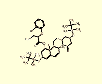 CCC(Oc1ccccc1Br)C(=O)O[C@H]1C[C@H](O[Si](C)(C)C(C)(C)C)C=C2C=C[C@H](C)[C@H](CC[C@@H]3C[C@@H](O[Si](C)(C)C(C)(C)C)CC(=O)O3)[C@H]21